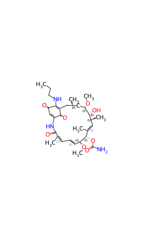 CCCNC1=C2C[C@@H](C)C[C@H](OC)[C@H](O)[C@@H](C)/C=C(\C)[C@H](OC(N)=O)[C@@H](OC)/C=C/C=C(/C)C(=O)NC(=CC1=O)C2=O